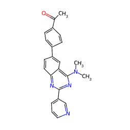 CC(=O)c1ccc(-c2ccc3nc(-c4cccnc4)nc(N(C)C)c3c2)cc1